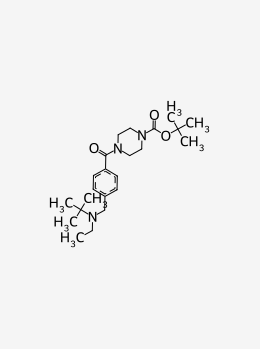 CCN(Cc1ccc(C(=O)N2CCN(C(=O)OC(C)(C)C)CC2)cc1)C(C)(C)C